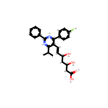 CC(C)c1nc(-c2ccccc2)nc(-c2ccc(F)cc2)c1C=CC(O)CC(O)CC(=O)O